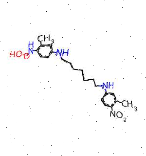 Cc1cc(NCCCCCCCNc2ccc([N+](=O)[O-])c(C)c2)ccc1NOO